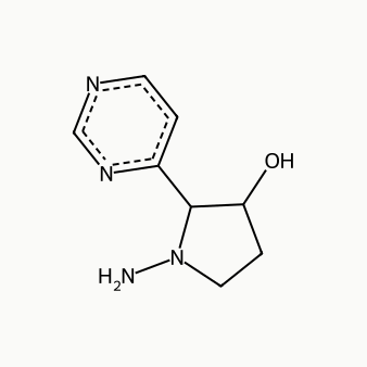 NN1CCC(O)C1c1ccncn1